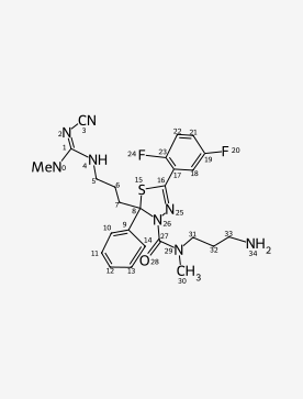 CN/C(=N/C#N)NCCCC1(c2ccccc2)SC(c2cc(F)ccc2F)=NN1C(=O)N(C)CCCN